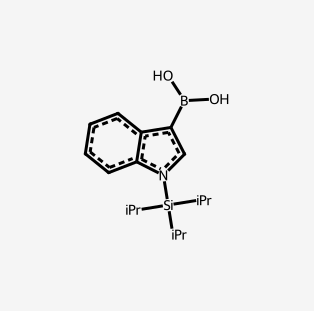 CC(C)[Si](C(C)C)(C(C)C)n1cc(B(O)O)c2ccccc21